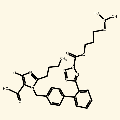 CCCCc1nc(Cl)c(C(=O)O)n1Cc1ccc(-c2ccccc2-c2nnn(C(=O)OCCCON(O)O)n2)cc1